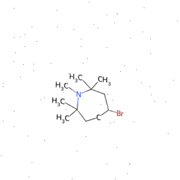 CN1C(C)(C)CCC(Br)CC1(C)C